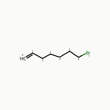 [CH]=CCCCCCBr